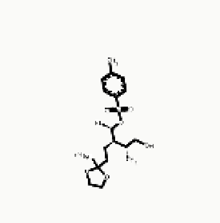 CCCCCCCC1(CC[C@H]([C@@H](C)CO)[C@@H](CC)OS(=O)(=O)c2ccc(C)cc2)OCCO1